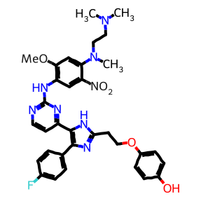 COc1cc(N(C)CCN(C)C)c([N+](=O)[O-])cc1Nc1nccc(-c2[nH]c(CCOc3ccc(O)cc3)nc2-c2ccc(F)cc2)n1